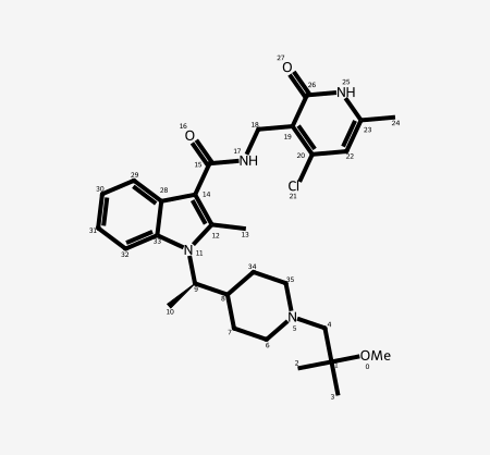 COC(C)(C)CN1CCC([C@@H](C)n2c(C)c(C(=O)NCc3c(Cl)cc(C)[nH]c3=O)c3ccccc32)CC1